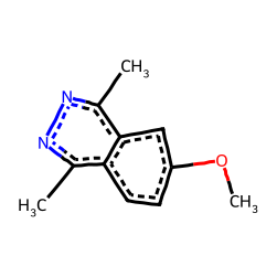 COc1ccc2c(C)nnc(C)c2c1